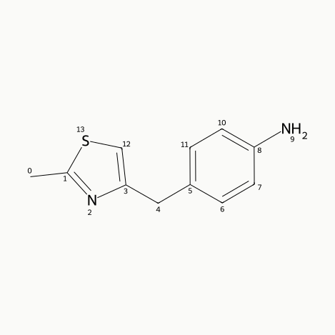 Cc1nc(Cc2ccc(N)cc2)cs1